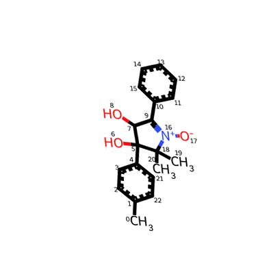 Cc1ccc(C2(O)C(O)C(c3ccccc3)=[N+]([O-])C2(C)C)cc1